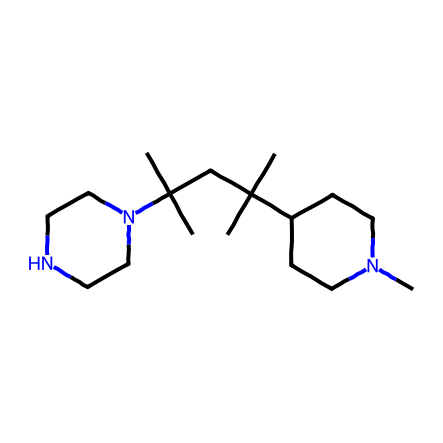 CN1CCC(C(C)(C)CC(C)(C)N2CCNCC2)CC1